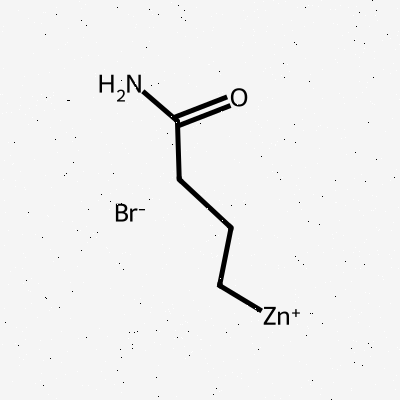 NC(=O)CC[CH2][Zn+].[Br-]